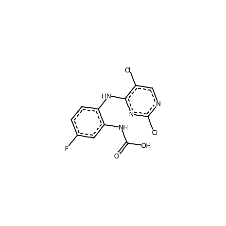 O=C(O)Nc1cc(F)ccc1Nc1nc(Cl)ncc1Cl